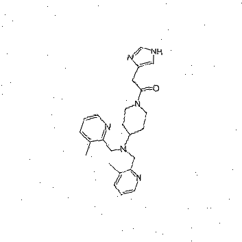 Cc1cccnc1CN(Cc1ncccc1C)C1CCN(C(=O)Cc2c[nH]cn2)CC1